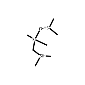 C[SiH](C)C[Si](C)(C)O[SiH](C)C